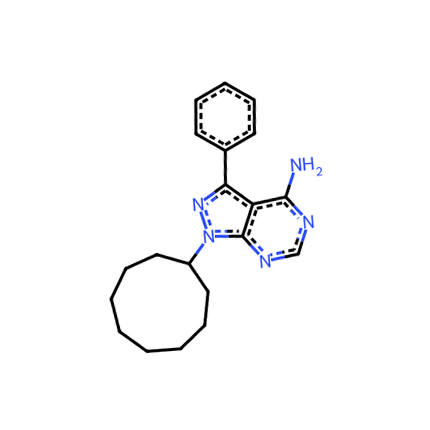 Nc1ncnc2c1c(-c1ccccc1)nn2C1CCCCCCCC1